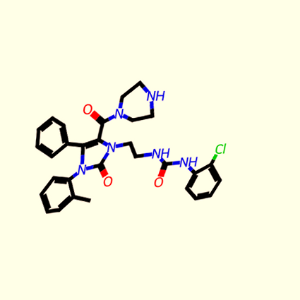 Cc1ccccc1-n1c(-c2ccccc2)c(C(=O)N2CCNCC2)n(CCNC(=O)Nc2ccccc2Cl)c1=O